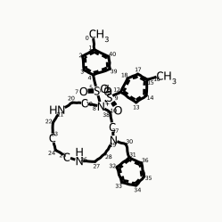 Cc1ccc(S(=O)(=O)[N+]2(S(=O)(=O)c3ccc(C)cc3)CCNCCCCNCCN(Cc3ccccc3)CC2)cc1